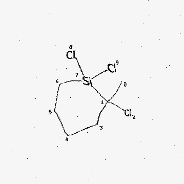 CC1(Cl)CCCC[Si]1(Cl)Cl